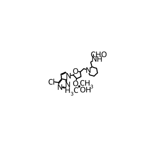 CC(C)(O)OC1CC(CN2CCCCC2CNC=O)OC1n1ccc2c(Cl)ncnc21